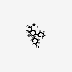 NC(=O)c1cc(-c2ccccc2)c(-c2ccc(Cl)cc2)[nH]c1=O